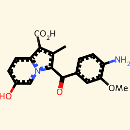 COc1cc(C(=O)c2c(C)c(C(=O)O)c3ccc(O)cn23)ccc1N